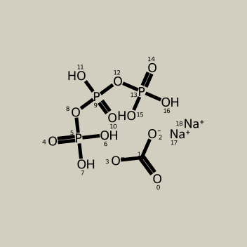 O=C([O-])[O-].O=P(O)(O)OP(=O)(O)OP(=O)(O)O.[Na+].[Na+]